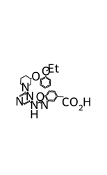 CCOc1ccccc1OC1CCCN(c2cncc(Nc3nc4cc(CC(=O)O)ccc4o3)n2)C1